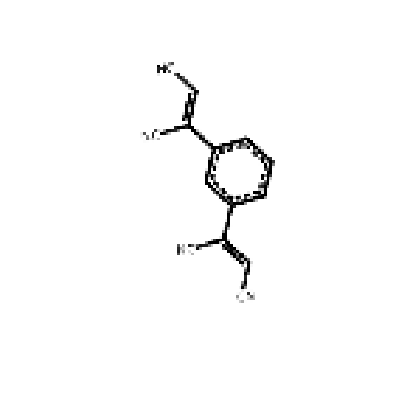 N#C/C=C(\C#N)c1cccc(/C(C#N)=C/C#N)c1